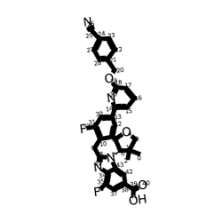 CC1(C)COC[C@H]1n1c(Cc2ccc(-c3cccc(OCc4ccc(C#N)cc4)n3)cc2F)nc2c(F)cc(C(=O)O)cc21